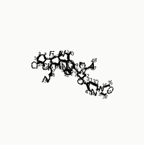 Cc1nc2c(F)c(-c3cccc(Cl)c3Cl)c(CCC#N)cc2c2c1cc(C1CC(Oc3ccc(N4CCOCC4)nc3)CN1C(=O)C1CC1)n2C1C2CNC1C2